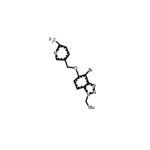 CC(C)(C)Cn1nnc2c(Br)c(OCc3ccc(C(F)(F)F)nc3)ccc21